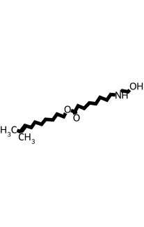 CC(C)=CCCCCCCCOC(=O)CCCCCCCNCCO